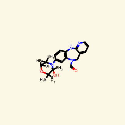 BC1(B)OC2(B)BC2(B)N(c2ccc3c(c2)N(C=O)Cc2cccnc2N3)C1(B)O